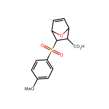 COc1ccc(S(=O)(=O)C2C3C=CC(O3)C2C(=O)O)cc1